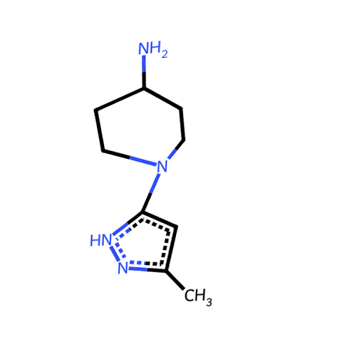 Cc1cc(N2CCC(N)CC2)[nH]n1